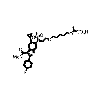 CNC(=O)c1c(-c2ccc(F)cc2)oc2cc(N(CCOCCCCCOC(C)C(=O)O)S(C)(=O)=O)c(C3CC3)cc12